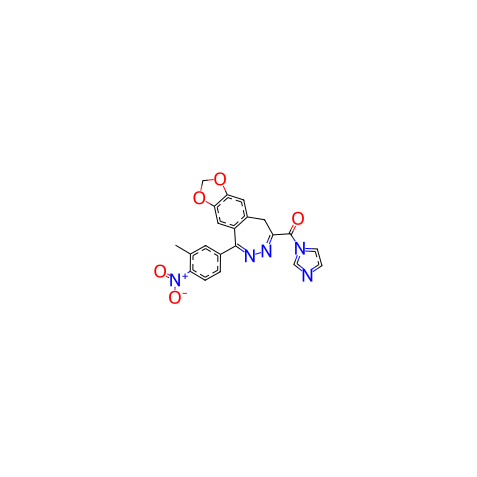 Cc1cc(C2=NN=C(C(=O)n3ccnc3)Cc3cc4c(cc32)OCO4)ccc1[N+](=O)[O-]